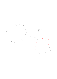 CCC1(c2ccccc2I)OCCO1